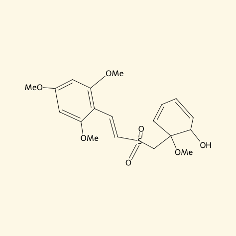 COc1cc(OC)c(/C=C/S(=O)(=O)CC2(OC)C=CC=CC2O)c(OC)c1